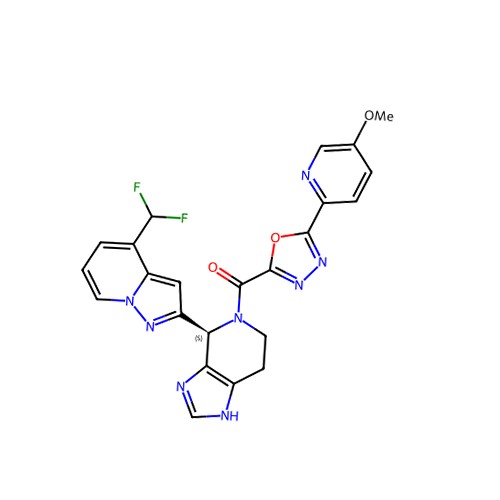 COc1ccc(-c2nnc(C(=O)N3CCc4[nH]cnc4[C@H]3c3cc4c(C(F)F)cccn4n3)o2)nc1